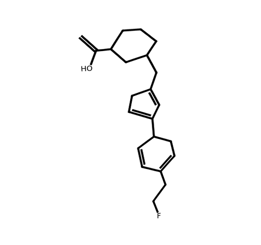 C=C(O)C1CCCC(CC2=CC(C3C=CC(CCF)=CC3)=CC2)C1